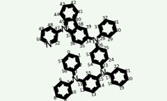 c1ccc(N(c2ccccc2)c2cccc(N(c3ccccc3)c3ccc(N(c4ccccc4)c4ccc5c(c4)c4ccccc4n5-c4cccnc4)cc3)c2)cc1